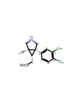 COC[C@@H]1[C@H]2CNC[C@]21c1ccc(Cl)c(Cl)c1